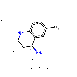 N[C@H]1CCNc2ccc(C(F)(F)F)cc21